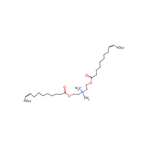 CCCCCCCC/C=C\CCCCCCCC(=O)OCC[N+](C)(C)CCOC(=O)CCCCCCC/C=C\CCCCCCCC